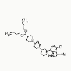 CCCCOC(OCCCC)C1CCN(c2ccc([C@@H]3CCCN(c4ccc(Cl)c5c(C#N)c[nH]c45)C3)cn2)CC1